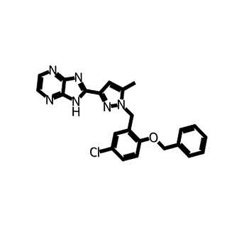 Cc1cc(-c2nc3nccnc3[nH]2)nn1Cc1cc(Cl)ccc1OCc1ccccc1